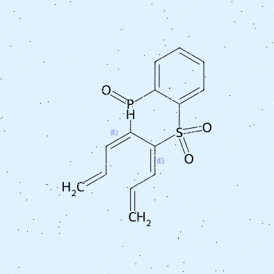 C=C/C=C1\C(=C/C=C)S(=O)(=O)c2ccccc2[PH]1=O